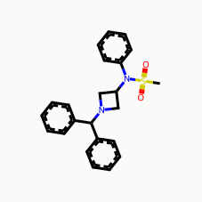 CS(=O)(=O)N(c1ccccc1)C1CN(C(c2ccccc2)c2ccccc2)C1